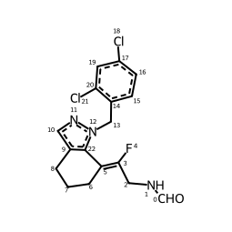 O=CNC/C(F)=C1\CCCc2cnn(Cc3ccc(Cl)cc3Cl)c21